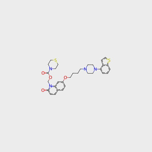 O=C(OCn1c(=O)ccc2ccc(OCCCCN3CCN(c4cccc5sccc45)CC3)cc21)N1CCSCC1